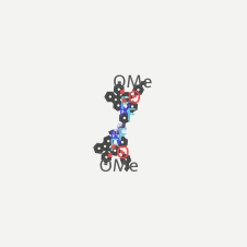 C=C/C(=C\C=C\c1ccc(N(c2ccc3c(c2)C(c2ccc(OC)cc2)(c2ccc(Oc4ccc(C=C)cc4)cc2)c2ccccc2-3)c2c(F)cccc2F)cc1)N(c1ccc2c(c1)C(c1ccc(OC)cc1)(c1ccc(Oc3ccc(C=C)cc3)cc1)c1ccccc1-2)c1c(F)cccc1F